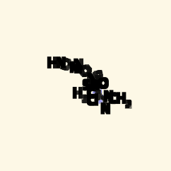 C=N/C(C#N)=C(Cl)\C=C(/C)N1C(=O)C2(CCC2)N(c2ccc3nn(C4CCNCC4)cc3c2)C1=S